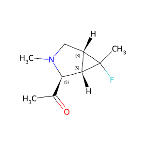 CC(=O)[C@@H]1[C@@H]2[C@H](CN1C)C2(C)F